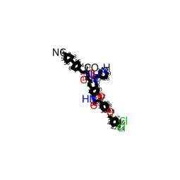 N#Cc1ccc(-c2ccc(C[C@H](NC(=O)C3Cc4cc5c(cc4CN3C(=O)c3cccnc3)OC(c3ccc(OCc4ccc(Cl)c(Cl)c4)cc3)C(=O)N5)C(=O)O)cc2)cc1